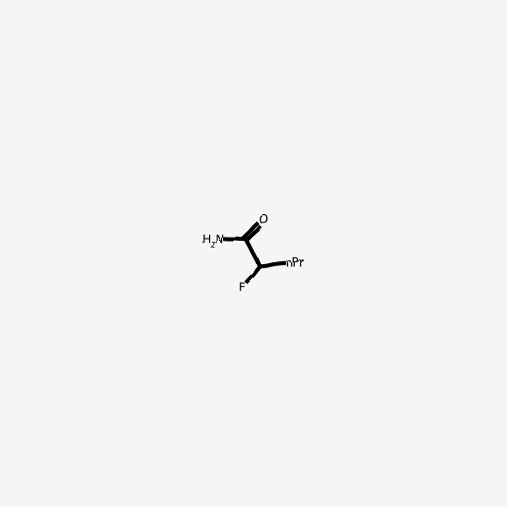 CCCC(F)C(N)=O